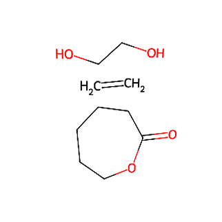 C=C.O=C1CCCCCO1.OCCO